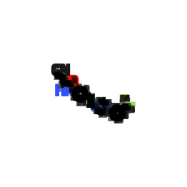 N#CCCCC(=O)NC1CCC(CCN2CCN(c3cccc(C(F)F)c3)CC2)CC1